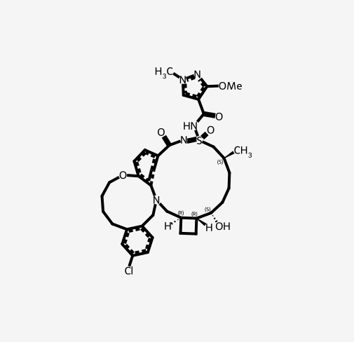 COc1nn(C)cc1C(=O)NS1(=O)=NC(=O)c2ccc3c(c2)N(Cc2ccc(Cl)cc2CCCCO3)C[C@@H]2CC[C@H]2[C@@H](O)CCC[C@H](C)C1